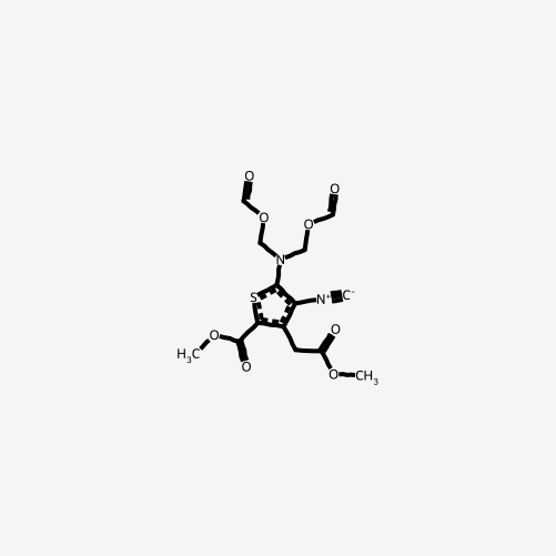 [C-]#[N+]c1c(N(COC=O)COC=O)sc(C(=O)OC)c1CC(=O)OC